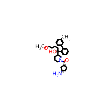 COCCCC[C@@](O)(c1ccccc1-c1cccc(C)c1)C1CCCN(C(=O)[C@@H]2CC[C@H](N)C2)C1